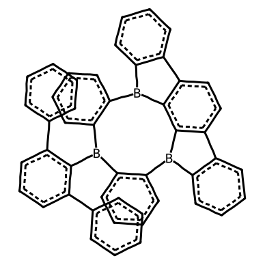 c1ccc(-c2cccc(-c3ccccc3)c2B2c3ccccc3B3c4ccccc4-c4ccc5c(c43)B(c3ccccc32)c2ccccc2-5)cc1